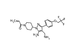 C=CC(=O)N1CCC(n2nc(-c3ccc(OCC(F)(F)F)cc3)c(CN)c2N)CC1